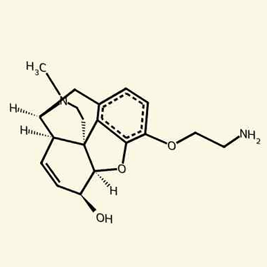 CN1CC[C@]23c4c5ccc(OCCN)c4O[C@H]2[C@@H](O)C=C[C@H]3[C@H]1C5